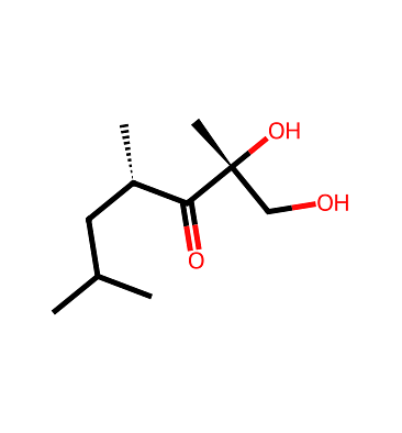 CC(C)C[C@H](C)C(=O)[C@](C)(O)CO